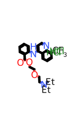 CCN(CC)CCOCCOC(=O)c1ccccc1Nc1ccnc2c(C(F)(F)F)cccc12.Cl.Cl